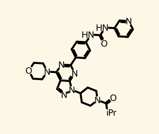 CC(C)C(=O)N1CCC(n2ncc3c(N4CCOCC4)nc(-c4ccc(NC(=O)Nc5cccnc5)cc4)nc32)CC1